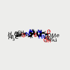 COC(=O)[C@H](Cc1ccc(Oc2ccnc3c2ccn3COCC[Si](C)(C)C)cn1)NC(O)OC(C)(C)C